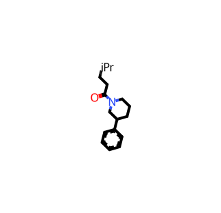 CC(C)CCC(=O)N1CCCC(c2ccccc2)C1